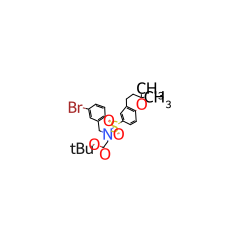 CC(C)(C)OC(=O)CN(Cc1cccc(Br)c1)S(=O)(=O)c1ccc2c(c1)CCC(C)(C)O2